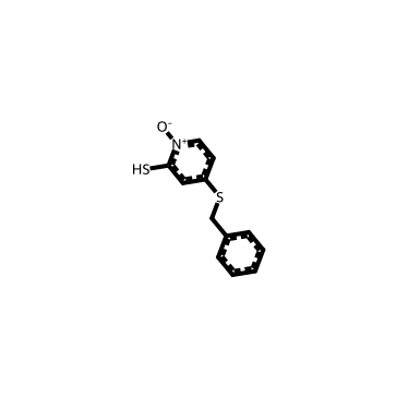 [O-][n+]1ccc(SCc2ccccc2)cc1S